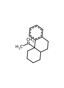 CN(C)C12CCCCC1CCc1ccccc12